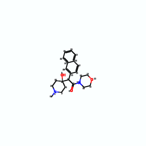 CN1CCC(O)(C(C(=O)N2CCOCC2)c2ccc3ccccc3c2)CC1